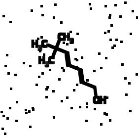 CC(C)(C)C=CC=CCO